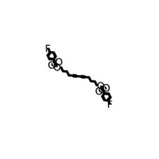 O=S(=O)(OCCCCC#CC#CCCCCOS(=O)(=O)c1ccc(F)cc1)c1ccc(F)cc1